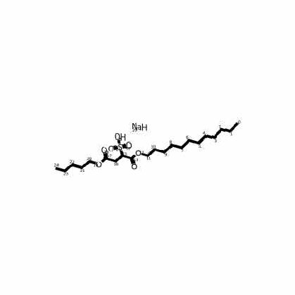 CCCCCCCCCCCCOC(=O)C(CC(=O)OCCCCC)S(=O)(=O)O.[NaH]